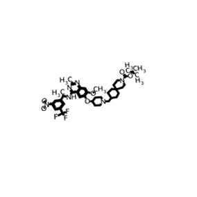 COc1cc2nc(C)nc(N[C@H](C)c3cc([N+](=O)[O-])cc(C(F)(F)F)c3)c2cc1OC1CCN(CC2CCC3(CC2)CCN(C(=O)OC(C)(C)C)CC3)CC1